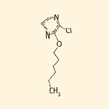 CCCCCCOc1nccnc1Cl